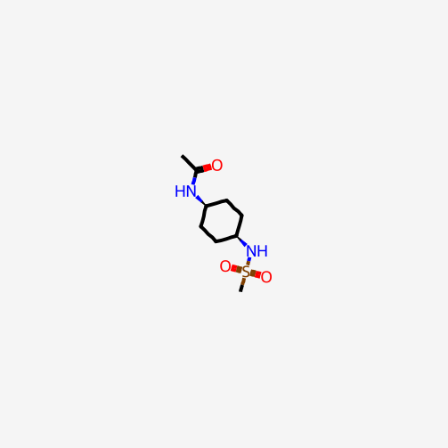 CC(=O)N[C@H]1CC[C@@H](NS(C)(=O)=O)CC1